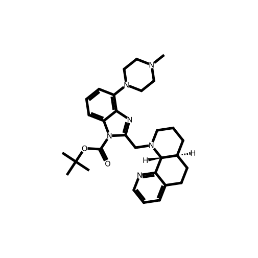 CN1CCN(c2cccc3c2nc(CN2CCC[C@H]4CCc5cccnc5[C@@H]42)n3C(=O)OC(C)(C)C)CC1